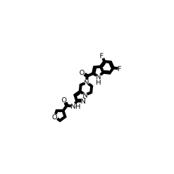 O=C(Nc1cc2n(n1)CCN(C(=O)c1cc3c(F)cc(F)cc3[nH]1)C2)C1CCOC1